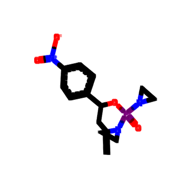 C=CCC(OP(=O)(N1CC1)N1CC1)c1ccc([N+](=O)[O-])cc1